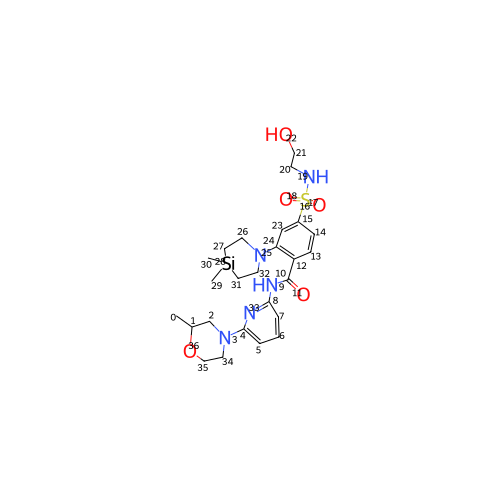 CC1CN(c2cccc(NC(=O)c3ccc(S(=O)(=O)NCCO)cc3N3CC[Si](C)(C)CC3)n2)CCO1